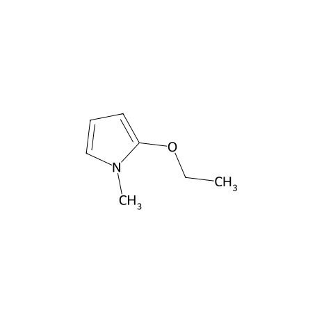 CCOc1cccn1C